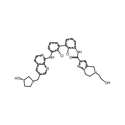 O=C(Nc1cccc(-c2cccc(Nc3nccc4cc(CN5CC[C@@H](O)C5)cnc34)c2Cl)c1Cl)c1cc2n(n1)CCN(CCO)C2